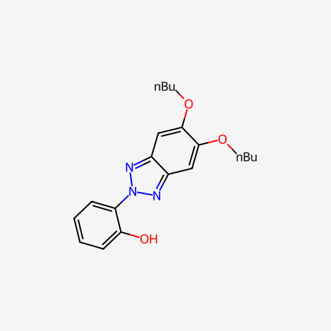 CCCCOc1cc2nn(-c3ccccc3O)nc2cc1OCCCC